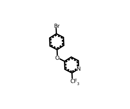 FC(F)(F)c1cc(Oc2ccc(Br)cc2)ccn1